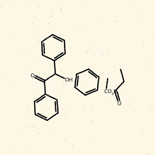 CC(=O)O.CCC=O.O=C(c1ccccc1)C(O)c1ccccc1.c1ccccc1